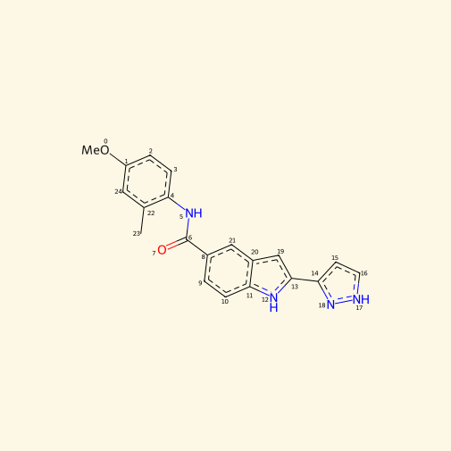 COc1ccc(NC(=O)c2ccc3[nH]c(-c4cc[nH]n4)cc3c2)c(C)c1